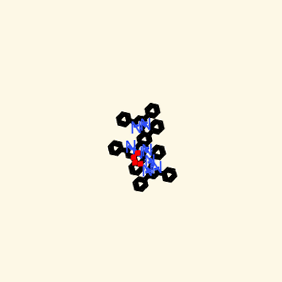 c1ccc(-c2cc(-c3ccccc3)nc(-c3cc(-c4nc(-c5ccccc5)cc(-c5ccccc5)n4)c(N4c5ccccc5N(c5nc(-c6ccccc6)cc(-c6ccccc6)n5)c5ccccc54)cc3-c3ccccc3)n2)cc1